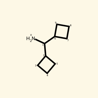 NC(C1CCC1)C1CCC1